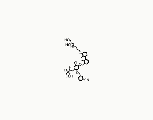 CCC(CO)(CO)NCc1cc(Cl)c(OCc2cccc(-c3cccc(OCCCNCC(O)CO)c3C)c2C)cc1OCc1cncc(C#N)c1